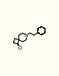 O=C1CCC12CCN(CCc1ccccc1)CC2